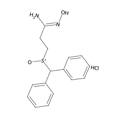 Cl.NC(CC[S+]([O-])C(c1ccccc1)c1ccccc1)=NO